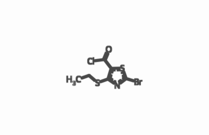 CCSc1nc(Br)sc1C(=O)Cl